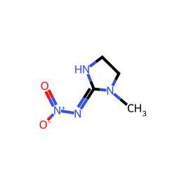 CN1CCN/C1=N\[N+](=O)[O-]